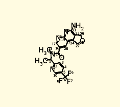 CC(c1ccc(C(F)(F)F)cn1)N(C)C(=O)c1cnc2nc(N)c3c(c2c1)COC3